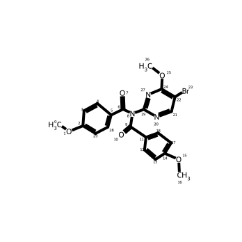 COc1ccc(C(=O)N(C(=O)c2ccc(OC)cc2)c2ncc(Br)c(OC)n2)cc1